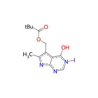 Cc1nc2ncn(I)c(O)c-2c1COC(=O)C(C)(C)C